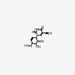 C#Cc1cn(C2C#CC(CO)C(O)C2O)c(=O)[nH]c1=O